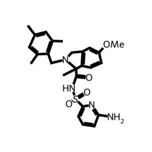 COc1ccc2c(c1)CN(Cc1c(C)cc(C)cc1C)C2(C)C(=O)NS(=O)(=O)c1cccc(N)n1